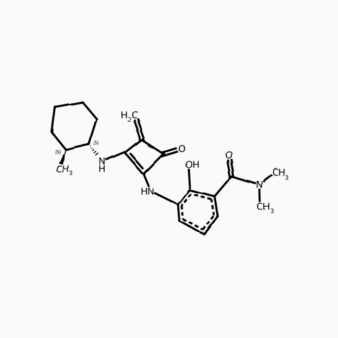 C=C1C(=O)C(Nc2cccc(C(=O)N(C)C)c2O)=C1N[C@H]1CCCC[C@@H]1C